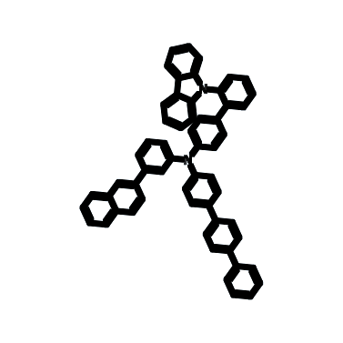 c1ccc(-c2ccc(-c3ccc(N(c4ccc(-c5ccccc5-n5c6ccccc6c6ccccc65)cc4)c4cccc(-c5ccc6ccccc6c5)c4)cc3)cc2)cc1